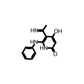 CC(=N)c1c(O)cc(=O)[nH]c1Nc1ccccc1